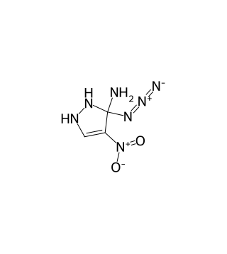 [N-]=[N+]=NC1(N)NNC=C1[N+](=O)[O-]